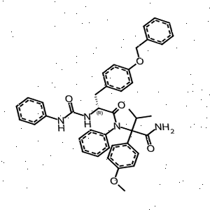 COc1ccc(C(C(N)=O)(C(C)C)N(C(=O)[C@@H](Cc2ccc(OCc3ccccc3)cc2)NC(=O)Nc2ccccc2)c2ccccc2)cc1